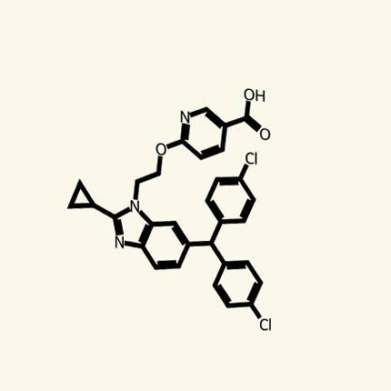 O=C(O)c1ccc(OCCn2c(C3CC3)nc3ccc(C(c4ccc(Cl)cc4)c4ccc(Cl)cc4)cc32)nc1